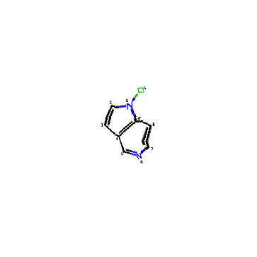 Cln1ccc2cnccc21